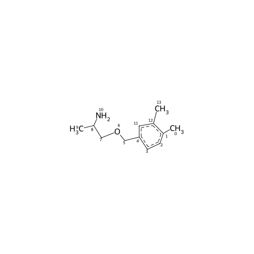 Cc1ccc(COCC(C)N)cc1C